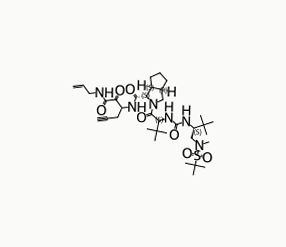 C#CCC(NC(=O)[C@@H]1[C@H]2CCC[C@H]2CN1C(=O)[C@@H](NC(=O)N[C@H](CN(C)S(=O)(=O)C(C)(C)C)C(C)(C)C)C(C)(C)C)C(=O)C(=O)NCC=C